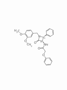 COc1ccc(CN2C(=O)[C@H](NC(=O)COc3ccccc3)[C@@H]2c2ccccc2)cc1OC